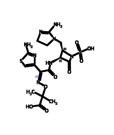 CC(C)(O/N=C(\C(=O)N[C@@H]1C(=O)N(S(=O)(=O)O)[C@@H]1CN1CCN=C1N)c1csc(N)n1)C(=O)O